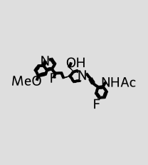 COc1ccc2nccc(C(F)CC[C@@H]3CCN(CC#Cc4cc(F)ccc4NC(C)=O)C[C@@H]3CO)c2c1